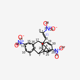 C/C(=C\C1C2CC2C2c3ccc([N+](=O)[O-])cc3C1C1C=CC([N+](=O)[O-])=CC12)[N+](=O)[O-]